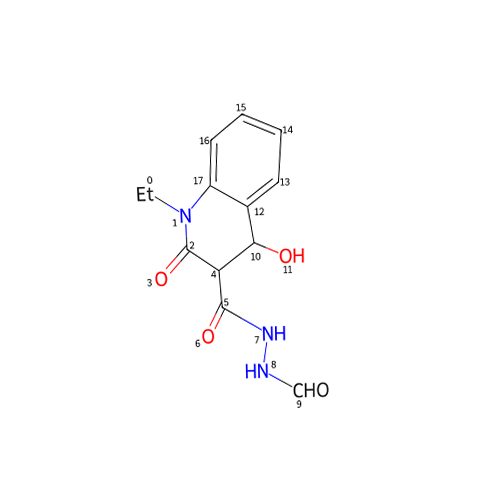 CCN1C(=O)C(C(=O)NNC=O)C(O)c2ccccc21